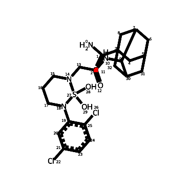 NC(=O)C12CC3CC(C1)C(NC(=O)CN1CCCN(c4cc(Cl)ccc4Cl)S1(O)O)C(C3)C2